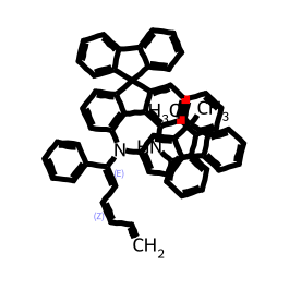 C=C/C=C\C=C(/c1ccccc1)N(c1ccc2c(c1)C(C)(C)c1ccccc1-2)c1cccc2c1-c1c(Nc3ccccc3-c3ccccc3)cccc1C21c2ccccc2-c2ccccc21